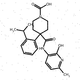 Cc1ccc(NC(=O)C2(c3ccccc3C(C)C)CCN(C(=O)O)CC2)c(O)n1